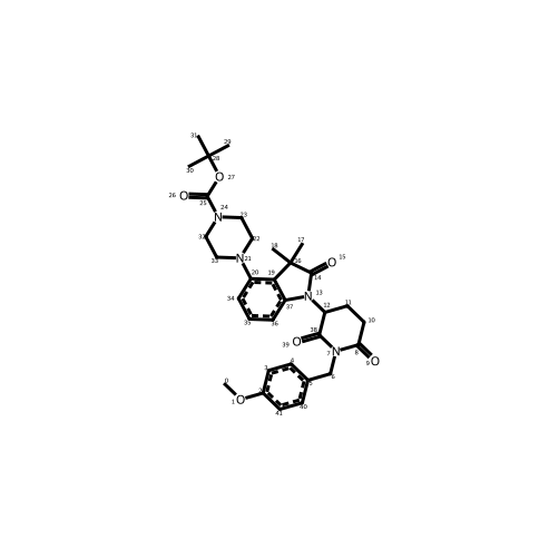 COc1ccc(CN2C(=O)CCC(N3C(=O)C(C)(C)c4c(N5CCN(C(=O)OC(C)(C)C)CC5)cccc43)C2=O)cc1